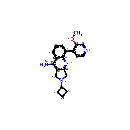 COc1cnccc1-c1cccc2c(N)c3c(nc12)CN(C1CCC1)C3